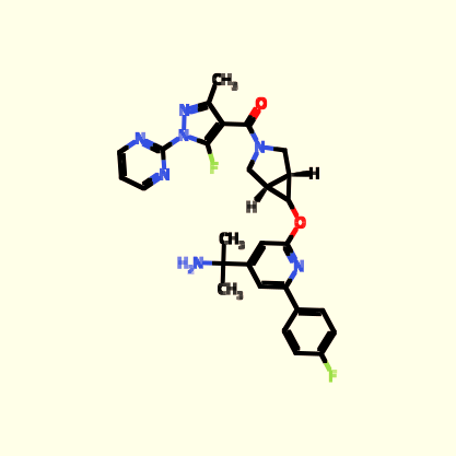 Cc1nn(-c2ncccn2)c(F)c1C(=O)N1C[C@@H]2C(Oc3cc(C(C)(C)N)cc(-c4ccc(F)cc4)n3)[C@@H]2C1